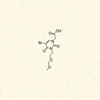 COCOCCn1c(=O)c(Br)cn(CC(=O)O)c1=O